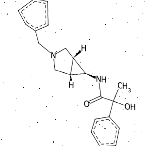 CC(O)(C(=O)N[C@H]1[C@@H]2CN(Cc3ccccc3)C[C@@H]21)c1ccccc1